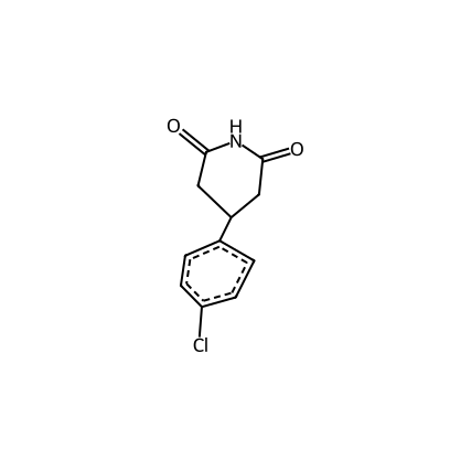 O=C1CC(c2ccc(Cl)cc2)CC(=O)N1